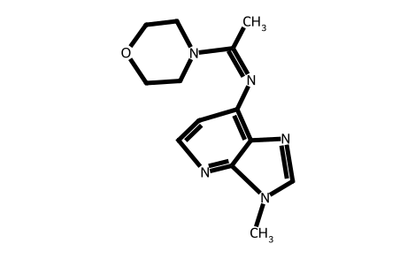 C/C(=N/c1ccnc2c1ncn2C)N1CCOCC1